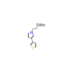 COCCn1ccc(-c2ccsc2)c1